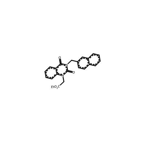 CCOC(=O)Cn1c(=O)n(Cc2ccc3ccccc3c2)c(=O)c2ccccc21